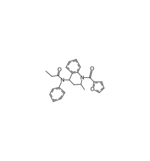 CCC(=O)N(c1ccccc1)C1CC(C)N(C(=O)c2ccco2)c2ccccc21